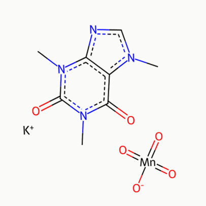 Cn1c(=O)c2c(ncn2C)n(C)c1=O.[K+].[O]=[Mn](=[O])(=[O])[O-]